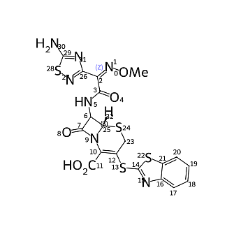 CO/N=C(\C(=O)NC1C(=O)N2C(C(=O)O)=C(Sc3nc4ccccc4s3)CS[C@@H]12)c1nsc(N)n1